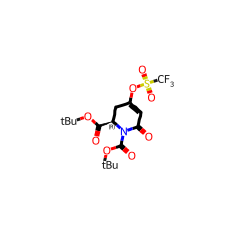 CC(C)(C)OC(=O)[C@H]1CC(OS(=O)(=O)C(F)(F)F)=CC(=O)N1C(=O)OC(C)(C)C